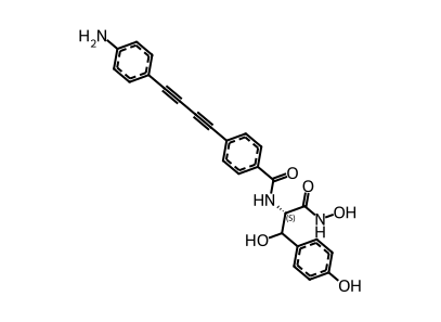 Nc1ccc(C#CC#Cc2ccc(C(=O)N[C@H](C(=O)NO)C(O)c3ccc(O)cc3)cc2)cc1